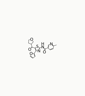 Cc1ccc(C(=O)Nc2nc(-c3ccco3)c(C(=O)C3CCOC3)s2)cn1